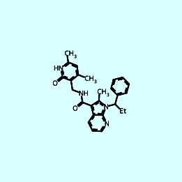 CCC(c1ccccc1)n1c(C)c(C(=O)NCc2c(C)cc(C)[nH]c2=O)c2cccnc21